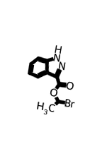 CC(Br)OC(=O)c1n[nH]c2ccccc12